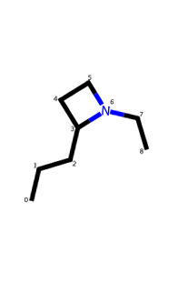 CCCC1CCN1CC